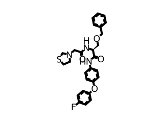 O=C(CN1CCSC1)N[C@@H](COCc1ccccc1)C(=O)Nc1ccc(Oc2ccc(F)cc2)cc1